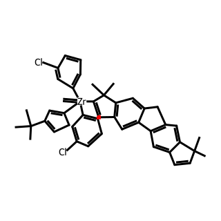 [CH2]=[Zr]([C]1=CC(C(C)(C)C)=CC1)([C]1=Cc2cc3c(cc2C1(C)C)Cc1cc2c(cc1-3)C=CC2(C)C)([c]1cccc(Cl)c1)[c]1cccc(Cl)c1